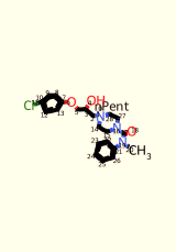 CCCCC[N+]1(CC(O)COc2ccc(Cl)cc2)CCN(C(=O)N(C)c2ccccc2)CC1